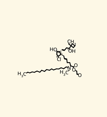 CCCCCCCCCCCCCCCCCCN(CC)C(CCC=CC[C@@H]1[C@@H](C=CC[C@H](O)C2(CC)CCC2)[C@H](O)C[C@H]1Cl)C(=O)OCC=O